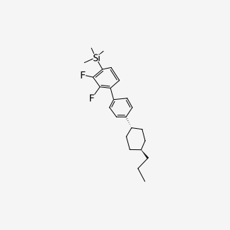 CCC[C@H]1CC[C@H](c2ccc(-c3ccc([Si](C)(C)C)c(F)c3F)cc2)CC1